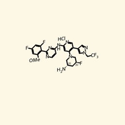 COc1cc(F)cc(F)c1-c1nccc(Nc2cc(N3C[C@@H](N)C[C@H](F)C3)c(-c3cnn(CC(F)(F)F)c3)cn2)n1.Cl